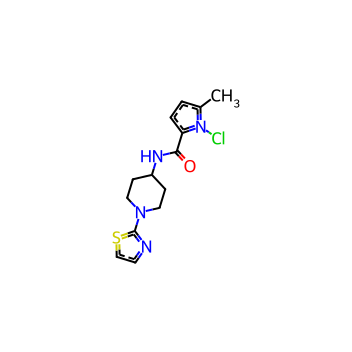 Cc1ccc(C(=O)NC2CCN(c3nccs3)CC2)n1Cl